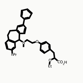 CCCc1ccc2c(c1)C(N(C)CCOc1ccc(CC(OCC)C(=O)O)cc1)c1ccc(-c3ccccc3)cc1CC2